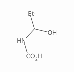 C[CH]C(O)NC(=O)O